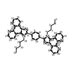 CCCCCn1c(-c2ccc(-c3nc4c5cccnc5c5ncccc5c4n3CCCCC)cc2)nc2c3cccnc3c3ncccc3c21